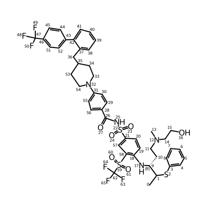 CC(Sc1ccccc1)[C@@H](CCN(C)CCO)Nc1ccc(S(=O)(=O)NC(=O)c2ccc(N3CCC(Cc4ccccc4-c4ccc(C(F)(F)F)cc4)CC3)cc2)cc1S(=O)(=O)C(F)(F)F